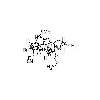 CSc1nc2c(F)c(Br)c(CCC#N)cc2c2c1cc([C@H]1C[C@H]3[C@@H](C)[C@H]3N1C(=O)OCC[SiH3])n2[C@H]1[C@@H]2C[C@H]1N(C(=O)OC(C)(C)C)C2